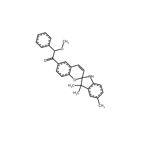 COC(C(=O)c1ccc2c(c1)C=CC1(Nc3ccc(C)cc3C1(C)C)O2)c1ccccc1